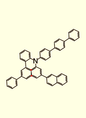 c1ccc(-c2ccc(-c3ccc(N(c4cccc(-c5ccc6ccccc6c5)c4)c4ccccc4-c4cccc(-c5ccccc5)c4)cc3)cc2)cc1